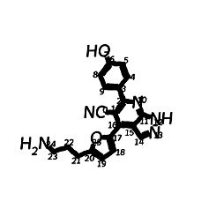 N#Cc1c(-c2ccc(O)cc2)nc2[nH]ncc2c1-c1ccc(CCCN)o1